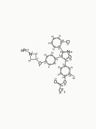 CCCN1CC(Oc2ccc(-c3c(-c4ccccc4Cl)noc3-c3ccc(OC(=O)C(F)(F)F)c(C)c3)cc2)C1